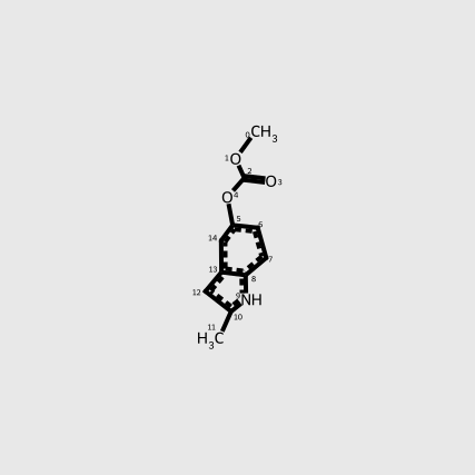 COC(=O)Oc1ccc2[nH]c(C)cc2c1